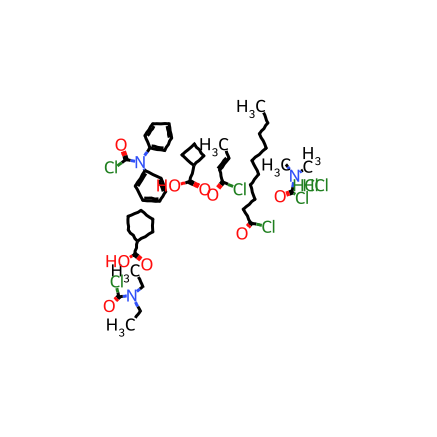 CC=CC(=O)Cl.CCCCCCCCCC(=O)Cl.CCN(CC)C(=O)Cl.CN(C)C(=O)Cl.Cl.Cl.O=C(Cl)N(c1ccccc1)c1ccccc1.O=C(O)C1CCC1.O=C(O)C1CCCCC1